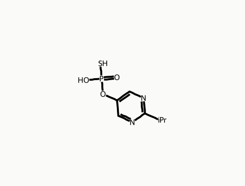 CC(C)c1ncc(OP(=O)(O)S)cn1